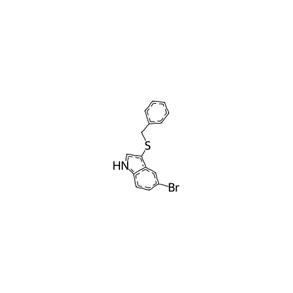 Brc1ccc2[nH]cc(SCc3ccccc3)c2c1